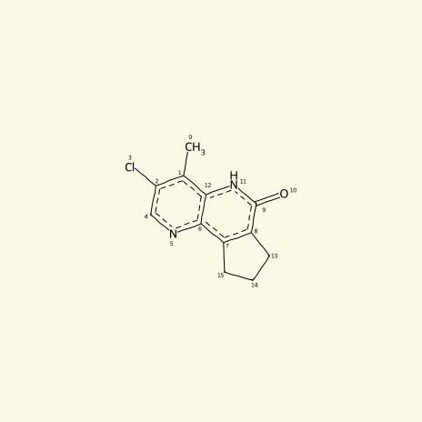 Cc1c(Cl)cnc2c3c(c(=O)[nH]c12)CCC3